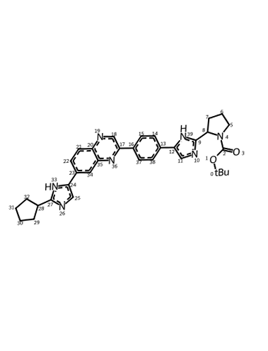 CC(C)(C)OC(=O)N1CCCC1c1ncc(-c2ccc(-c3cnc4ccc(-c5cnc(C6CCCC6)[nH]5)cc4n3)cc2)[nH]1